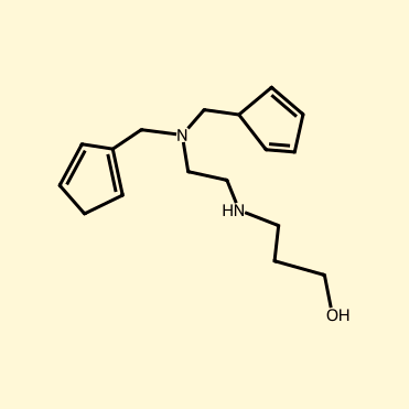 OCCCNCCN(CC1=CCC=C1)CC1C=CC=C1